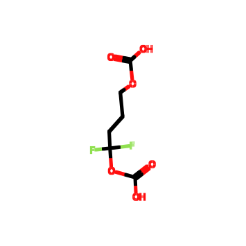 O=C(O)OCCCC(F)(F)OC(=O)O